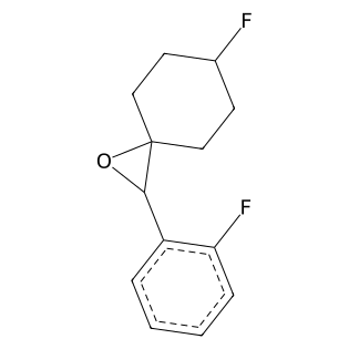 Fc1ccccc1C1OC12CCC(F)CC2